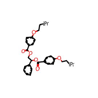 CC(C)CCOc1ccc(C(=O)OCC(OC(=O)c2ccc(OCCC(C)C)cc2)c2ccccc2)cc1